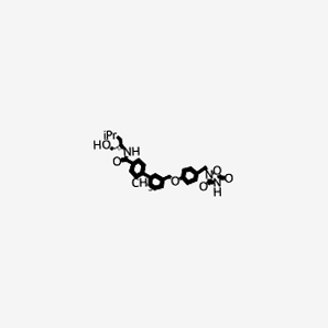 Cc1cc(C(=O)N[C@H](CO)CC(C)C)ccc1-c1cccc(COc2ccc(Cn3oc(=O)[nH]c3=O)cc2)c1